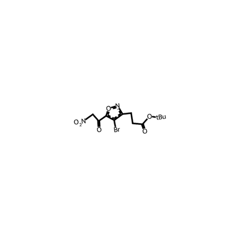 CC(C)(C)OC(=O)CCc1noc(C(=O)C[N+](=O)[O-])c1Br